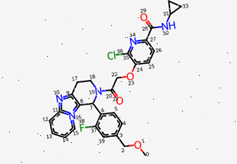 COCc1ccc(C2c3c(nc4ccccn34)CCN2C(=O)COc2ccc(C(=O)NC3CC3)nc2Cl)c(F)c1